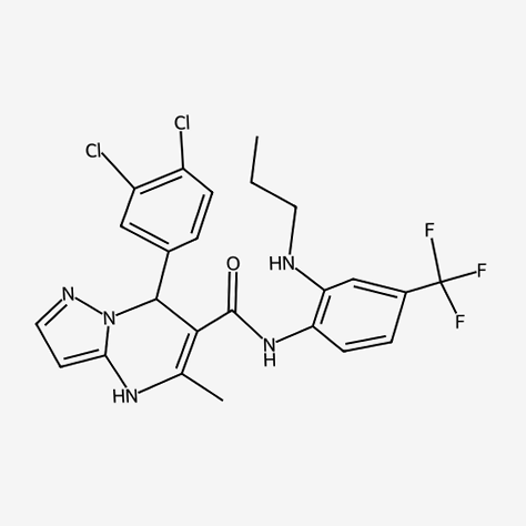 CCCNc1cc(C(F)(F)F)ccc1NC(=O)C1=C(C)Nc2ccnn2C1c1ccc(Cl)c(Cl)c1